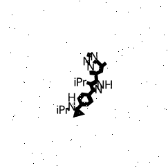 Cc1cc(-c2[nH]nc(-c3ccc(C4(NC(C)C)CC4)cc3)c2C(C)C)cn2ncnc12